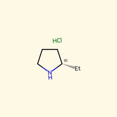 CC[C@H]1CCCN1.Cl